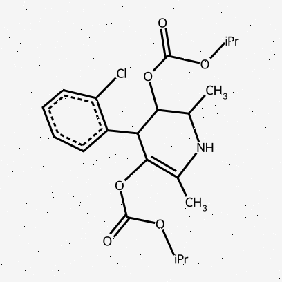 CC1=C(OC(=O)OC(C)C)C(c2ccccc2Cl)C(OC(=O)OC(C)C)C(C)N1